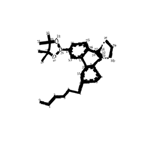 CCCCCCc1ccc2c(c1)-c1cc(B3OC(C)(C)C(C)(C)O3)ccc1[C@]13CCC[C@]21CCC3